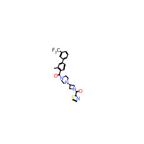 Cc1cc(-c2cccc(C(F)(F)F)c2)ccc1C(=O)N1CCN(C2CN(C(=O)c3nccs3)C2)CC1